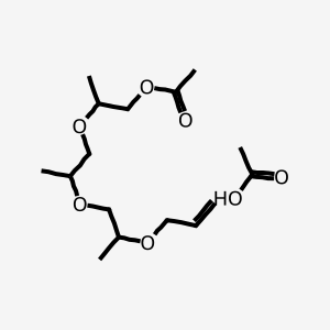 C=CCOC(C)COC(C)COC(C)COC(C)=O.CC(=O)O